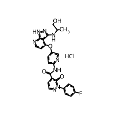 CC(CO)Nc1n[nH]c2nccc(Oc3ccc(NC(=O)c4ccnn(-c5ccc(F)cc5)c4=O)nc3)c12.Cl